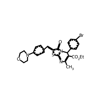 CCOC(=O)C1=C(C)N=c2s/c(=C\c3ccc(N4CCOCC4)cc3)c(=O)n2C1c1ccc(Br)cc1